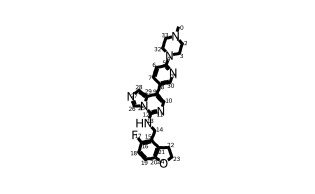 CN1CCN(c2ccc(-c3cnc(NCc4c(F)ccc5c4CCO5)n4cncc34)cn2)CC1